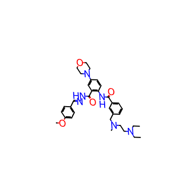 CCN(CC)CCN(C)Cc1cccc(C(=O)Nc2ccc(N3CCOCC3)cc2C(=O)NN=Cc2ccc(OC)cc2)c1